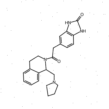 O=C(Cc1ccc2[nH]c(=O)[nH]c2c1)N1CCc2ccccc2C1CN1CCCC1